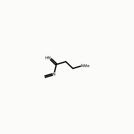 C=NC(=N)CCNC